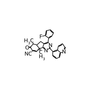 CC1C(=O)C(C#N)=C[C@@]2(C)c3nc(-c4cccc5ncccc45)nc(-c4ccccc4F)c3CC12